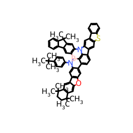 CC(C)(C)c1ccc(N2B3c4cc5c(cc4-n4c6cc7c(cc6c6ccc(c3c64)-c3cc4oc6cc8c(cc6c4cc32)C(C)(C)CCC8(C)C)sc2ccccc27)C(C)(C)c2ccccc2-5)cc1